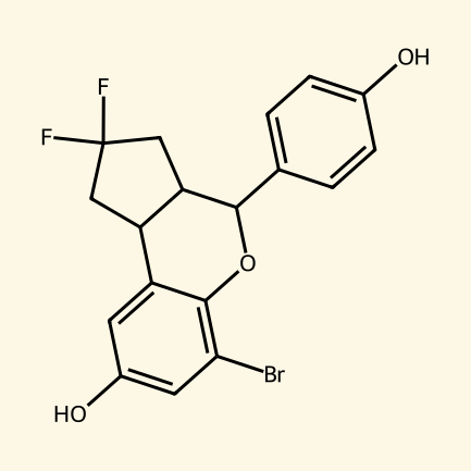 Oc1ccc(C2Oc3c(Br)cc(O)cc3C3CC(F)(F)CC32)cc1